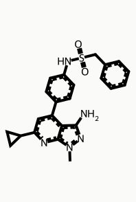 Cn1nc(N)c2c(-c3ccc(NS(=O)(=O)Cc4ccccc4)cc3)cc(C3CC3)nc21